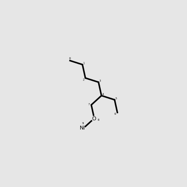 CCCCC(CC)C[O][Ni]